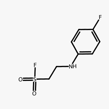 O=S(=O)(F)CCNc1ccc(F)cc1